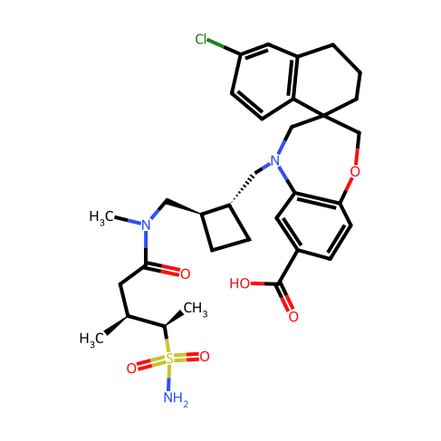 C[C@H]([C@@H](C)CC(=O)N(C)C[C@@H]1CC[C@H]1CN1CC2(CCCc3cc(Cl)ccc32)COc2ccc(C(=O)O)cc21)S(N)(=O)=O